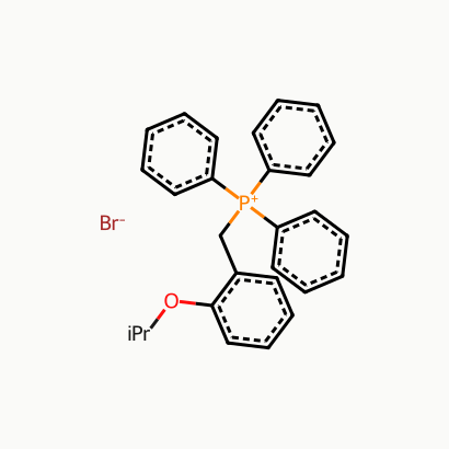 CC(C)Oc1ccccc1C[P+](c1ccccc1)(c1ccccc1)c1ccccc1.[Br-]